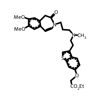 CCOC(=O)COc1ccc2c(CCN(C)CCCN3C=Cc4cc(OC)c(OC)cc4CC3=O)csc2c1